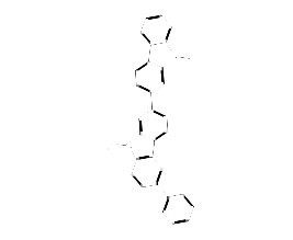 Cn1c2ccc(-c3ccccc3)cc2c2ccc(-c3ccc4c5ccccc5n(I)c4c3)cc21